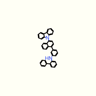 c1ccc(-c2ccccc2Nc2cccc(-c3ccc(-n4c5ccccc5c5ccccc54)c4ccccc34)c2)cc1